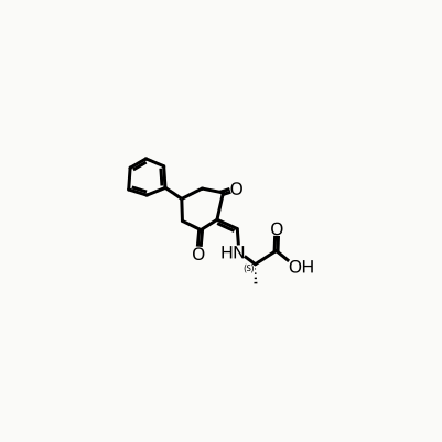 C[C@H](NC=C1C(=O)CC(c2ccccc2)CC1=O)C(=O)O